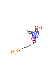 CC(C)(C)c1ccc(-c2cn3c(=O)c(Cc4ccc(CCCCCCCCCCCCCP)cc4)nc-3c(Cc3ccc(O)cc3)[nH]2)cc1